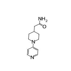 NC(=O)CC1CCN(c2ccncc2)CC1